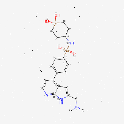 CN(C)Cc1cc2c(-c3ccc(S(=O)(=O)NC4CCS(O)(O)CC4)cc3)ccnc2[nH]1